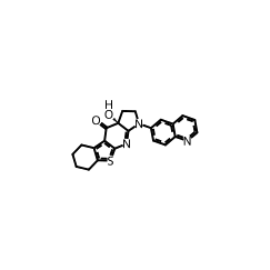 O=C1c2c(sc3c2CCCC3)N=C2N(c3ccc4ncccc4c3)CC[C@@]12O